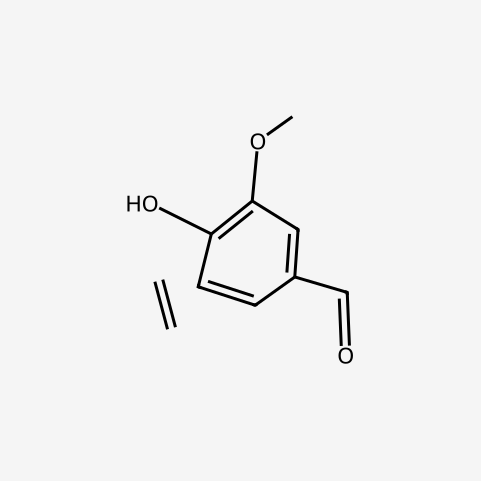 C=C.COc1cc(C=O)ccc1O